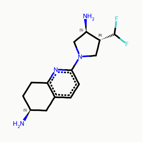 N[C@H]1CCc2nc(N3C[C@@H](N)[C@H](C(F)F)C3)ccc2C1